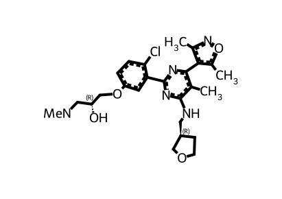 CNC[C@@H](O)COc1ccc(Cl)c(-c2nc(NC[C@H]3CCOC3)c(C)c(-c3c(C)noc3C)n2)c1